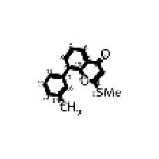 CSc1cc(=O)c2cccc(-c3cccc(C)c3)c2o1